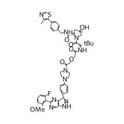 COc1cccc(F)c1-c1ncc2[nH]nc(-c3ccc(N4CCN(C(=O)COCC(=O)N[C@H](C(=O)N5C[C@H](O)C[C@H]5C(=O)NCc5ccc(-c6scnc6C)cc5)C(C)(C)C)CC4)cc3)c2n1